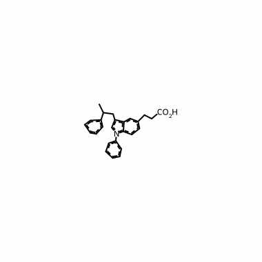 CC(Cc1cn(-c2ccccc2)c2ccc(CCC(=O)O)cc12)c1ccccc1